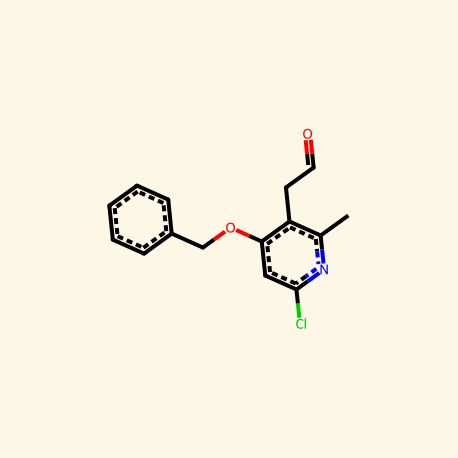 Cc1nc(Cl)cc(OCc2ccccc2)c1CC=O